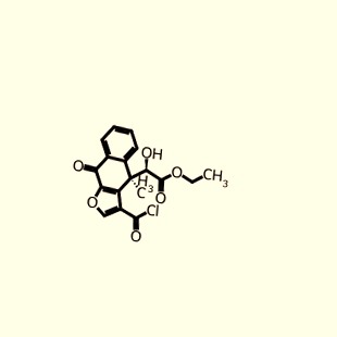 CCOC(=O)[C@H](O)[C@]1(C)c2ccccc2C(=O)c2occ(C(=O)Cl)c21